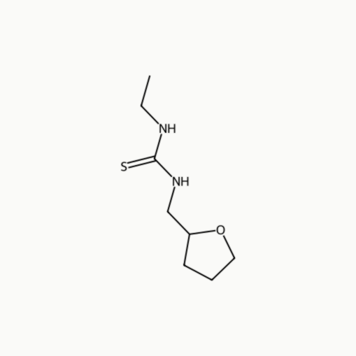 CCNC(=S)NCC1CCCO1